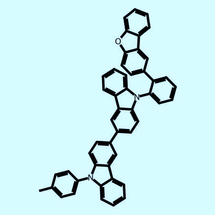 Cc1ccc(-n2c3ccccc3c3cc(-c4ccc5c(c4)c4ccccc4n5-c4ccccc4-c4ccc5oc6ccccc6c5c4)ccc32)cc1